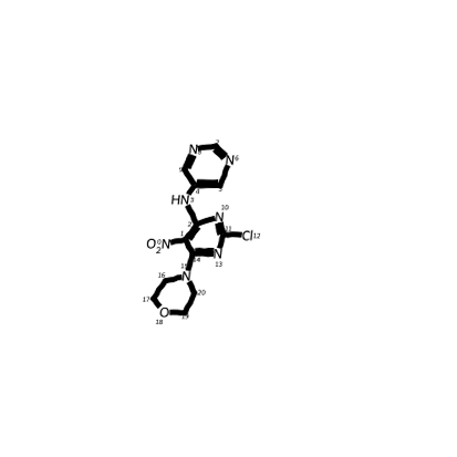 O=[N+]([O-])c1c(Nc2cncnc2)nc(Cl)nc1N1CCOCC1